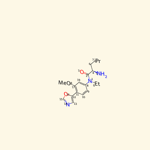 CCN(C(=O)[C@H](N)CC(C)C)c1ccc(-c2cnco2)c(OC)c1